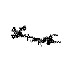 COc1ccc(C(OC[C@H]2O[C@@H](N(N)/C=C(\N)COC/C(=C/NCCCNC(=O)CCCCO[C@@H]3O[C@H](COC(=O)c4ccccc4)[C@H](OC(=O)c4ccccc4)[C@H](OC(=O)c4ccccc4)[C@H]3NC(C)=O)NN)CC2O)(c2ccccc2)c2ccc(OC)cc2)cc1